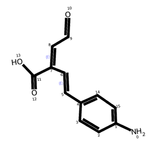 Nc1ccc(/C=C/C(=C\C=O)C(=O)O)cc1